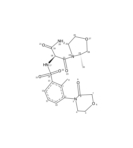 Cc1c(N2CCOCC2=O)cccc1S(=O)(=O)N[C@@H](C(N)=O)C(=O)N1CCOC[C@@H]1C